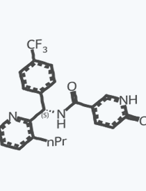 CCCc1cccnc1[C@@H](NC(=O)c1ccc(=O)[nH]c1)c1ccc(C(F)(F)F)cc1